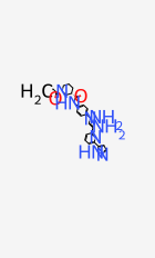 C=CC(=O)N1CCC[C@H](C(=O)Nc2ccc(N(N)/C=C(\N)c3cccc(-c4ccn[nH]4)n3)cc2)C1